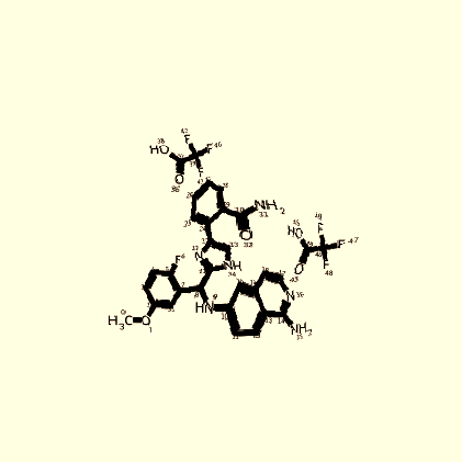 COc1ccc(F)c(C(Nc2ccc3c(N)nccc3c2)c2nc(-c3ccccc3C(N)=O)c[nH]2)c1.O=C(O)C(F)(F)F.O=C(O)C(F)(F)F